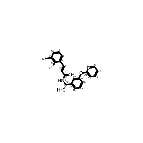 C[C@H](NC(=O)/C=C/c1cccc(F)c1F)c1cccc(Oc2ccccn2)c1